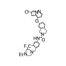 CCN1CCN(Cc2ccc(NC(=O)N3CCc4ccc(Oc5ccnn6cc(Cl)cc56)cc4C3)cc2C(F)(F)F)CC1